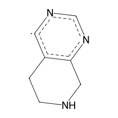 [c]1ncnc2c1CCNC2